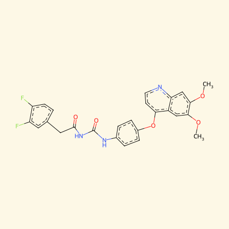 COc1cc2nccc(Oc3ccc(NC(=O)NC(=O)Cc4ccc(F)c(F)c4)cc3)c2cc1OC